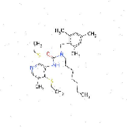 CCCCCCCN(Cc1c(C)cc(C)cc1C)C(=O)Nc1c(SCC)ncc(C)c1SCC